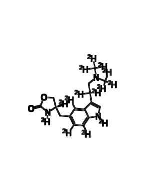 [2H]c1c(C[C@@]2([2H])COC(=O)N2[2H])c([2H])c2c(C([2H])([2H])CN(C([2H])([2H])[2H])C([2H])([2H])[2H])cn([2H])c2c1[2H]